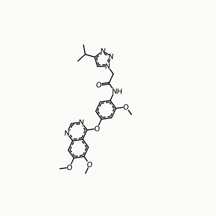 COc1cc(Oc2ncnc3cc(OC)c(OC)cc23)ccc1NC(=O)Cn1cc(C(C)C)nn1